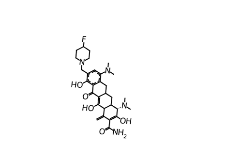 C=C1C(C(N)=O)=C(O)[C@@H](N(C)C)C2CC3Cc4c(N(C)C)cc(CN5CCC(F)CC5)c(O)c4C(=O)C3=C(O)C12